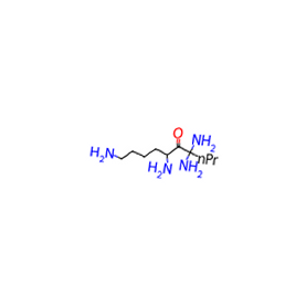 CCCC(N)(N)C(=O)C(N)CCCCN